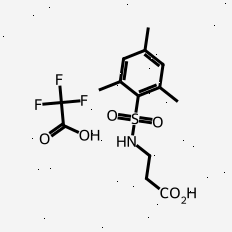 Cc1cc(C)c(S(=O)(=O)NCCC(=O)O)c(C)c1.O=C(O)C(F)(F)F